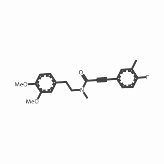 COc1ccc(CCN(C)C(=O)C#Cc2ccc(F)c(C)c2)cc1OC